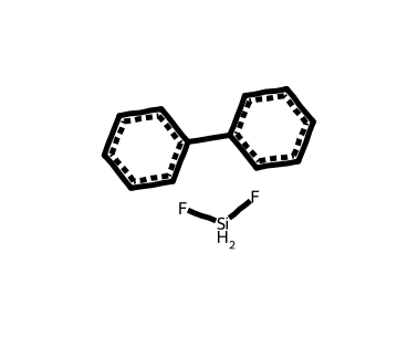 F[SiH2]F.c1ccc(-c2ccccc2)cc1